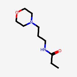 C[CH]C(=O)NCCCN1CCOCC1